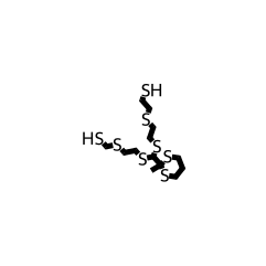 CC1(C(SCCSCS)SCCSCCS)SCCCS1